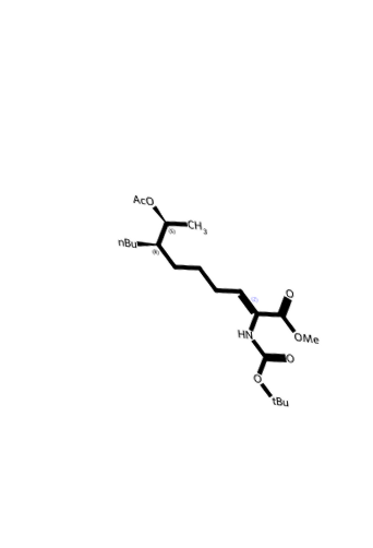 CCCC[C@H](CCC/C=C(\NC(=O)OC(C)(C)C)C(=O)OC)[C@H](C)OC(C)=O